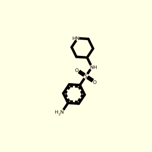 Nc1ccc(S(=O)(=O)NC2CCNCC2)cc1